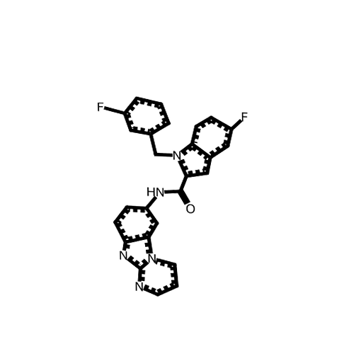 O=C(Nc1ccc2nc3ncccn3c2c1)c1cc2cc(F)ccc2n1Cc1cccc(F)c1